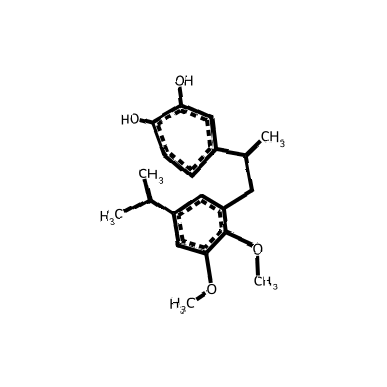 COc1cc(C(C)C)cc(CC(C)c2ccc(O)c(O)c2)c1OC